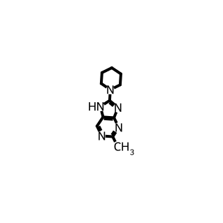 Cc1ncc2[nH]c(N3CCCCC3)nc2n1